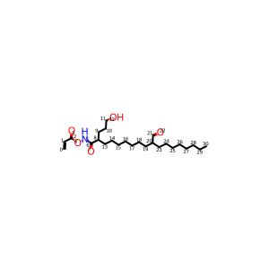 C=CC(=O)ONC(=O)C(CCCO)CCCCCCCC(C=O)CCCCCCCC